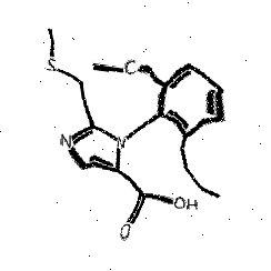 CCc1cccc(CC)c1-n1c(C(=O)O)cnc1CSC